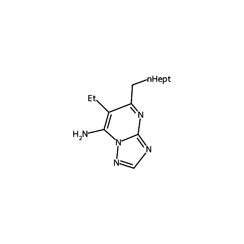 CCCCCCCCc1nc2ncnn2c(N)c1CC